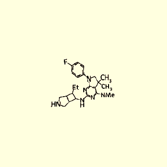 CCC1C2CNCC2C1Nc1nc(NC)c2c(n1)N(c1ccc(F)cc1)CC2(C)C